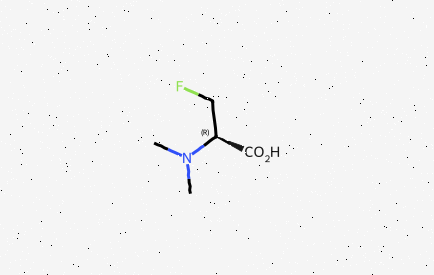 CN(C)[C@@H](CF)C(=O)O